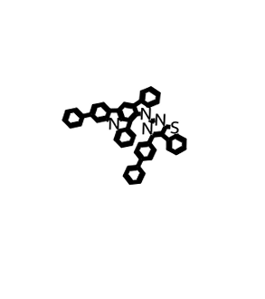 c1ccc(-c2ccc(-c3nc(-n4c5ccccc5c5cc6c7ccc(-c8ccccc8)cc7n7c8ccccc8c(c54)c67)nc4sc5ccccc5c34)cc2)cc1